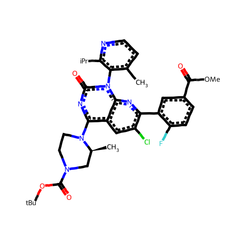 COC(=O)c1ccc(F)c(-c2nc3c(cc2Cl)c(N2CCN(C(=O)OC(C)(C)C)C[C@@H]2C)nc(=O)n3-c2c(C)ccnc2C(C)C)c1